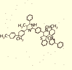 CC1C=CC(C2(C)C=CC(C3N=C(c4ccc(C5C6Sc7ccccc7C6(C)C6=C(C(C)CC=C6c6cccc(-c7ccccc7)c6)N5C)cc4)NC(c4ccccc4)C3C)=CC2)=CC1